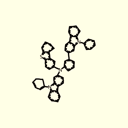 C1=CCCC(n2c3ccccc3c3ccc(N(c4cccc(-c5ccc6c7ccccc7n(-c7ccccc7)c6c5)c4)c4ccc5sc6ccccc6c5c4)cc32)=C1